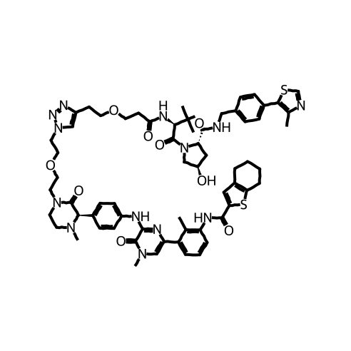 Cc1ncsc1-c1ccc(CNC(=O)[C@@H]2C[C@@H](O)CN2C(=O)[C@@H](NC(=O)CCOCCc2cn(CCOCCN3CCN(C)[C@H](c4ccc(Nc5nc(-c6cccc(NC(=O)c7cc8c(s7)CCCC8)c6C)cn(C)c5=O)cc4)C3=O)nn2)C(C)(C)C)cc1